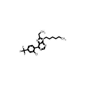 CCCCCCn1c(CC)nc2c(-c3ccc(C(F)(F)F)cc3Cl)ncnc21